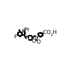 Cc1cc(F)cc2c(CN3CCC4(CC3)CN(c3ccc(C(=O)O)cc3)C(=O)O4)cn(C(C)C)c12